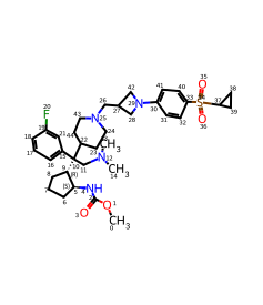 COC(=O)N[C@H]1CCC[C@@H]1C(CN(C)C)(c1cccc(F)c1)C1CCN(CC2CN(c3ccc(S(=O)(=O)C4CC4)cc3)C2)CC1